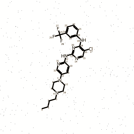 CCCCN1CCN(c2ccc(Nc3ncc(Cl)c(Nc4cccc(C(F)(F)F)c4)n3)nc2)CC1